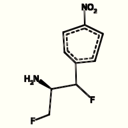 N[C@H](CF)C(F)c1ccc([N+](=O)[O-])cc1